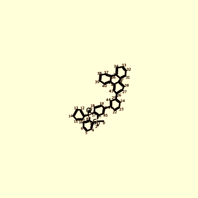 C[Si]1(C)c2ccccc2P(=O)(c2ccccc2)c2ccc(-c3cccc(-c4ccc5c6ccccc6c6ccccc6c5c4)c3)cc21